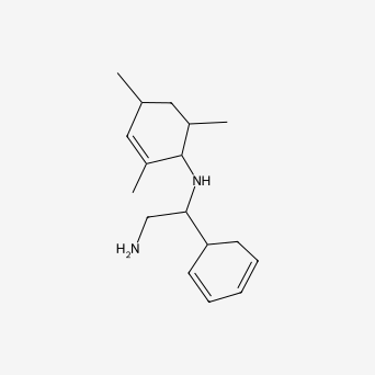 CC1=CC(C)CC(C)C1NC(CN)C1C=CC=CC1